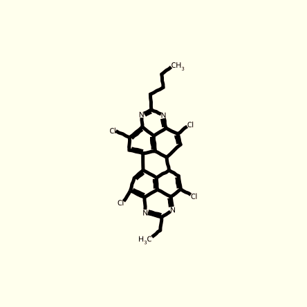 CCCCc1nc2c3c4c(cc(Cl)c3n1)-c1cc(Cl)c3nc(CC)nc5c3c1C(C=C5Cl)C4C=C2Cl